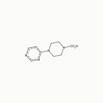 O=C(O)N1CCN(c2ccncn2)CC1